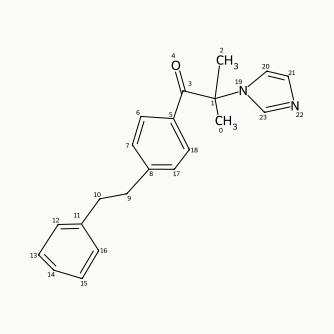 CC(C)(C(=O)c1ccc(CCc2ccccc2)cc1)n1ccnc1